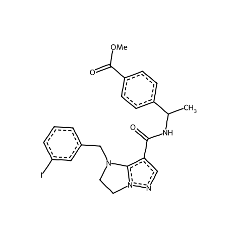 COC(=O)c1ccc(C(C)NC(=O)c2cnn3c2N(Cc2cccc(I)c2)CC3)cc1